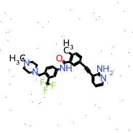 Cc1ccc(C#Cc2cccnc2N)cc1C(=O)Nc1ccc(CN2CCN(C)CC2)c(C(F)(F)F)c1